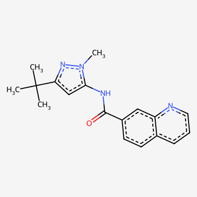 Cn1nc(C(C)(C)C)cc1NC(=O)c1ccc2cccnc2c1